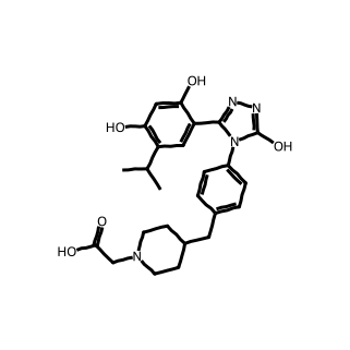 CC(C)c1cc(-c2nnc(O)n2-c2ccc(CC3CCN(CC(=O)O)CC3)cc2)c(O)cc1O